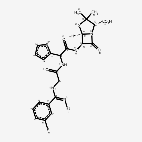 CCN=C(NCC(=O)NC(C(=O)N[C@@H]1C(=O)N2[C@@H]1SC(C)(C)[C@@H]2C(=O)O)c1cccs1)c1cccc(F)c1